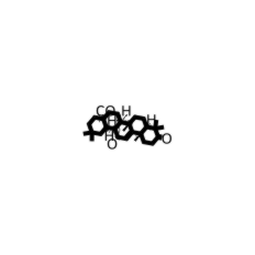 CC1(C)CC[C@]2(C(=O)O)CC[C@]3(C)[C@H](C(=O)C=C4[C@@]5(C)CCC(=O)C(C)(C)[C@@H]5CC[C@]43C)[C@@H]2C1